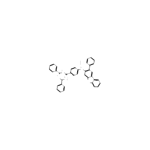 c1ccc(-c2cc3c(cc2Nc2ccc(C4=NC(c5ccccc5)NC(c5ccccc5)N4)cc2)oc2ccccc23)cc1